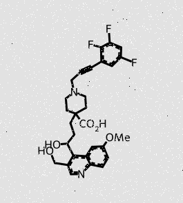 COc1ccc2ncc(CO)c(C(O)CCC3(C(=O)O)CCN(CC#Cc4cc(F)cc(F)c4F)CC3)c2c1